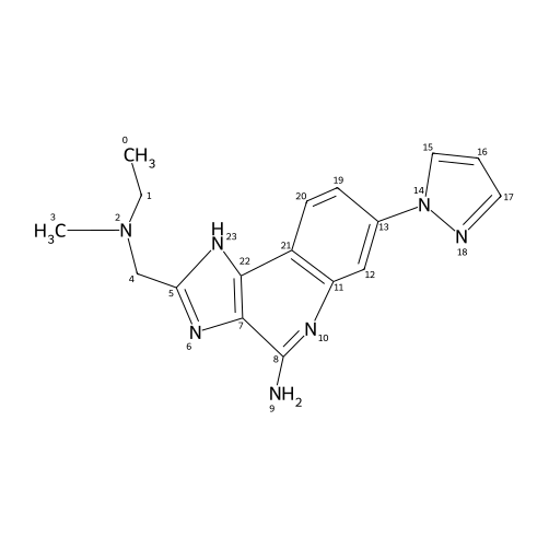 CCN(C)Cc1nc2c(N)nc3cc(-n4cccn4)ccc3c2[nH]1